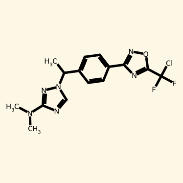 CC(c1ccc(-c2noc(C(F)(F)Cl)n2)cc1)n1cnc(N(C)C)n1